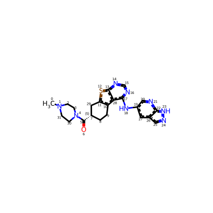 CN1CCN(C(=O)[C@H]2CCc3c(sc4ncnc(Nc5cnc6[nH]ncc6c5)c34)C2)CC1